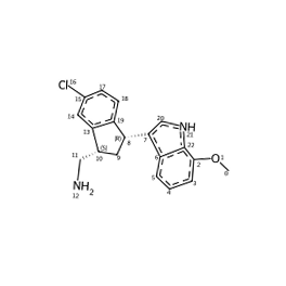 COc1cccc2c([C@@H]3C[C@H](CN)c4cc(Cl)ccc43)c[nH]c12